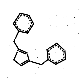 C1=C(Cc2ccccc2)C=C(Cc2ccccc2)C1